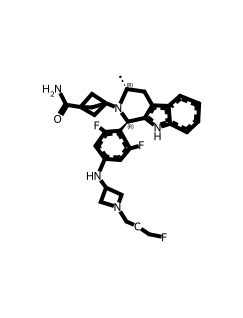 C[C@@H]1Cc2c([nH]c3ccccc23)[C@@H](c2c(F)cc(NC3CN(CCCF)C3)cc2F)N1C12CC(C(N)=O)(C1)C2